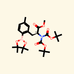 COC(=O)[C@H](Cc1cc(C)ccc1B1OC(C)(C)C(C)(C)O1)N(C(=O)OC(C)(C)C)C(=O)OC(C)(C)C